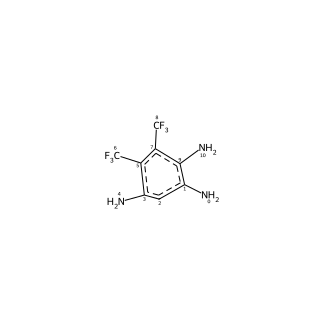 Nc1cc(N)c(C(F)(F)F)c(C(F)(F)F)c1N